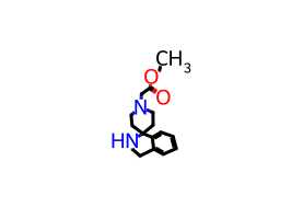 CCOC(=O)CN1CCC2(CC1)NCCc1ccccc12